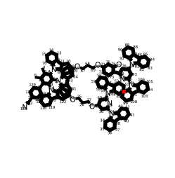 Cc1c(C)c(-n2c3ccccc3c3ccccc32)c(-n2c3ccc(OCCCOc4cc(-n5c6ccccc6c6ccccc65)nc(-n5c6ccccc6c6ccccc65)c4)cc3c3cc(OCCCOc4ccc5c(c4)oc4c(-n6c7ccccc7c7ccccc76)cc(-n6c7ccccc7c7ccccc76)nc45)ccc32)c(-n2c3ccccc3c3ccccc32)c1-c1ccc(C#N)cc1